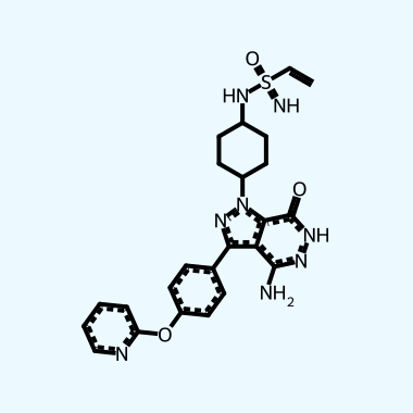 C=CS(=N)(=O)NC1CCC(n2nc(-c3ccc(Oc4ccccn4)cc3)c3c(N)n[nH]c(=O)c32)CC1